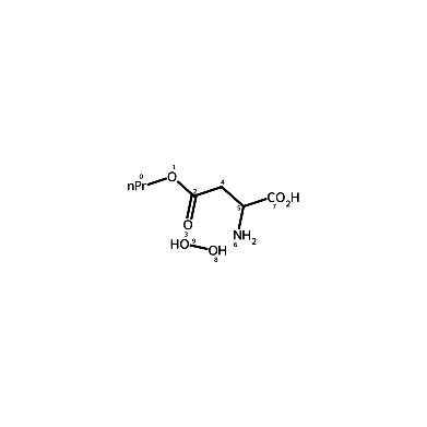 CCCOC(=O)CC(N)C(=O)O.OO